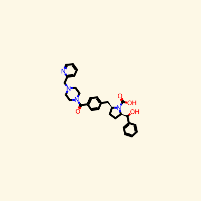 O=C(c1ccc(C[C@@H]2CC[C@H](C(O)c3ccccc3)N2C(=O)O)cc1)N1CCN(Cc2ccccn2)CC1